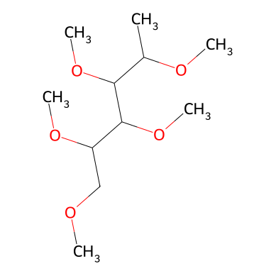 COCC(OC)C(OC)C(OC)C(C)OC